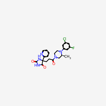 C[C@H]1CN(C(=O)CCC2(c3ccccn3)NC(=O)NC2=O)CCN1c1cc(F)cc(Cl)c1